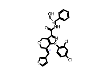 O=C(N[C@H](CO)c1ccccc1)c1nn(-c2ccc(Cl)cc2Cl)c2c1COC/C2=C\c1ccsc1